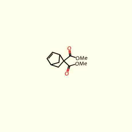 COC(=O)C1(C(=O)OC)CC2C=CC1C2